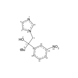 CC(C)(C)C(O)(Cn1ccnc1)c1cccc([N+](=O)[O-])c1